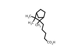 CC1(C)C2CCC(C2)C1(C)CCCCC(=O)O